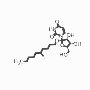 CCCCCC(I)CCCCO[C@@]1(n2ccc(=O)[nH]c2=O)O[C@H](CO)[C@@H](O)[C@H]1O